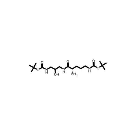 CC(C)(C)OC(=O)NCCC[C@H](N)C(=O)NCC(O)CNC(=O)OC(C)(C)C